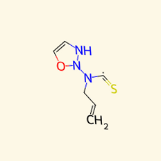 C=CCN([C]=S)N1NC=CO1